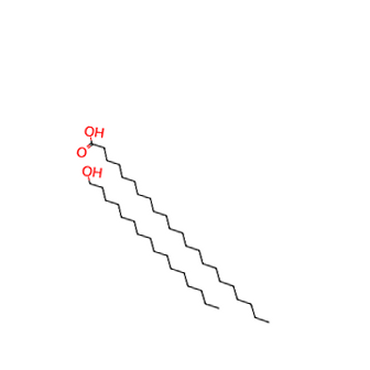 CCCCCCCCCCCCCCCCCCCCCC(=O)O.CCCCCCCCCCCCCCCCO